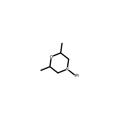 CC1CN(C(C)C)CC(C)O1